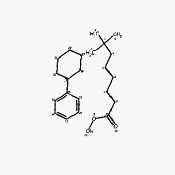 CC(C)(C)CCCCCC(=O)OO.c1ccc(C2CCCCC2)cc1